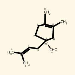 CC(C)=CC[C@@]1(C=O)CCC(C)=C(C)C1